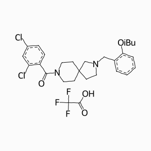 CC(C)COc1ccccc1CN1CCC2(CCN(C(=O)c3ccc(Cl)cc3Cl)CC2)C1.O=C(O)C(F)(F)F